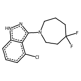 FC1(F)CCCN(c2n[nH]c3cccc(Cl)c23)CC1